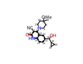 COC1(C)CCN(c2c(C#N)c(=O)[nH]c3ccc(C(O)C4CC4)cc23)CC1